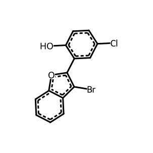 Oc1ccc(Cl)cc1-c1oc2ccccc2c1Br